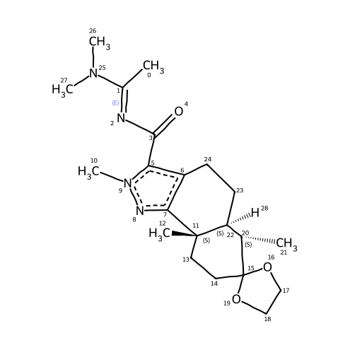 C/C(=N\C(=O)c1c2c(nn1C)[C@@]1(C)CCC3(OCCO3)[C@@H](C)[C@@H]1CC2)N(C)C